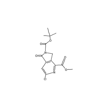 COC(=O)c1nc(Cl)cc2c1CN(C(=O)OC(C)(C)C)C2=O